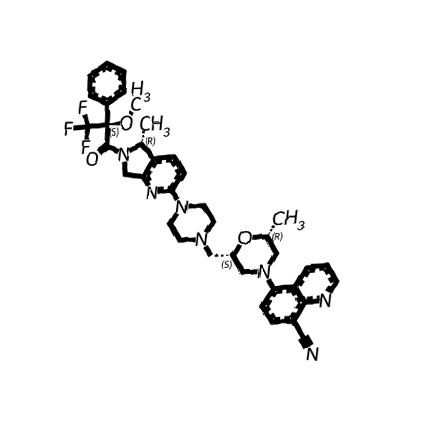 CO[C@](C(=O)N1Cc2nc(N3CCN(C[C@H]4CN(c5ccc(C#N)c6ncccc56)C[C@@H](C)O4)CC3)ccc2[C@H]1C)(c1ccccc1)C(F)(F)F